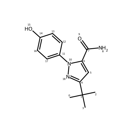 CC(C)(C)c1cc(C(N)=O)n(-c2ccc(O)cc2)n1